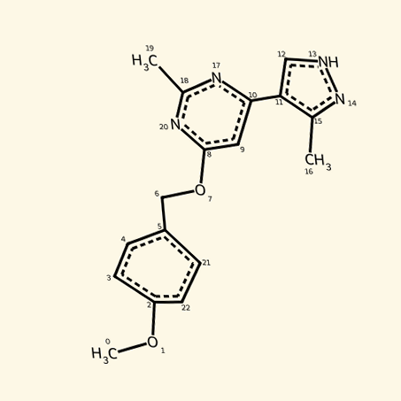 COc1ccc(COc2cc(-c3c[nH]nc3C)nc(C)n2)cc1